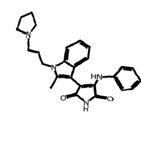 Cc1c(C2=C(Nc3ccccc3)C(=O)NC2=O)c2ccccc2n1CCCN1CCCC1